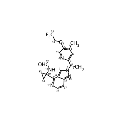 Cc1cc(C(C)n2cc3c(C4(NC=O)CC4)nccc3n2)ncc1OCC(F)(F)F